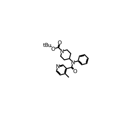 Cc1ccncc1C(=O)N(c1ccccc1)C1CCN(C(=O)OC(C)(C)C)CC1